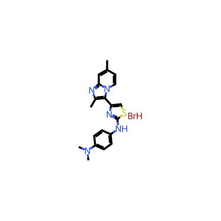 Br.Cc1ccn2c(-c3csc(Nc4ccc(N(C)C)cc4)n3)c(C)nc2c1